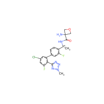 C[C@@H](NC(=O)C1(N)COC1)c1ccc(-c2cc(Cl)cc(F)c2-c2nnn(C)n2)cc1F